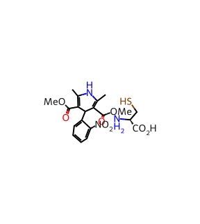 COC(=O)C1=C(C)NC(C)=C(C(=O)OC)C1c1ccccc1[N+](=O)[O-].N[C@@H](CS)C(=O)O